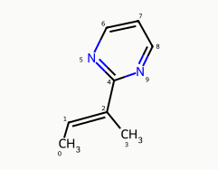 C/C=C(\C)c1ncccn1